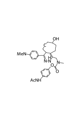 CNc1ccc(C2=NNC(CN(C)C(=O)Oc3ccc(NC(C)=O)cc3)=C3CCC(O)CCCC23)cc1